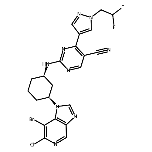 N#Cc1cnc(N[C@@H]2CCC[C@H](n3cnc4cnc(Cl)c(Br)c43)C2)nc1-c1cnn(CC(F)F)c1